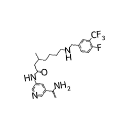 C=C(N)c1cncc(NC(=O)CC(C)CCCCNCc2ccc(F)c(C(F)(F)F)c2)c1